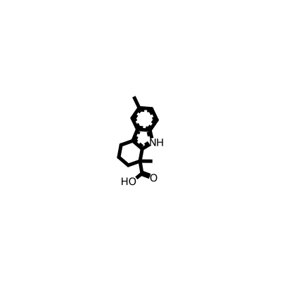 Cc1ccc2[nH]c3c(c2c1)CCCC3(C)C(=O)O